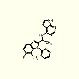 Cc1c(F)ccc2nc([C@H](C)Nc3ncnc4[nH]cnc34)n(-c3ccccn3)c12